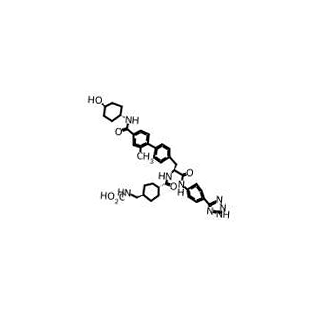 Cc1cc(C(=O)N[C@H]2CC[C@H](O)CC2)ccc1-c1ccc(C[C@H](NC(=O)[C@H]2CC[C@H](CNC(=O)O)CC2)C(=O)Nc2ccc(-c3nn[nH]n3)cc2)cc1